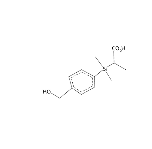 CC(C(=O)O)[Si](C)(C)c1ccc(CO)cc1